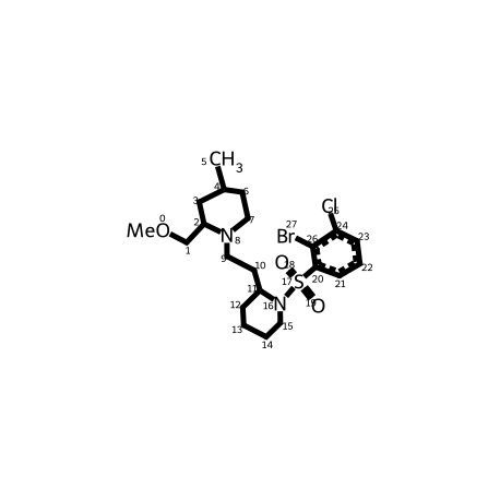 COCC1CC(C)CCN1CCC1CCCCN1S(=O)(=O)c1cccc(Cl)c1Br